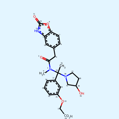 CN(C(=O)Cc1ccc2oc(=O)[nH]c2c1)C(C)(c1cccc(OCC(=O)O)c1)N1CCC(O)C1